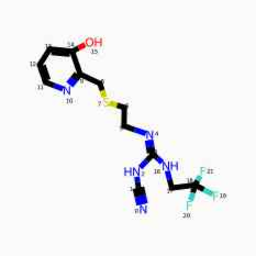 N#CN/C(=N\CCSCc1ncccc1O)NCC(F)(F)F